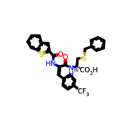 O=C(N[C@H](CSCc1ccccc1)C(=O)O)C(=Cc1ccc(C(F)(F)F)cc1)NC(=O)c1cc2ccccc2s1